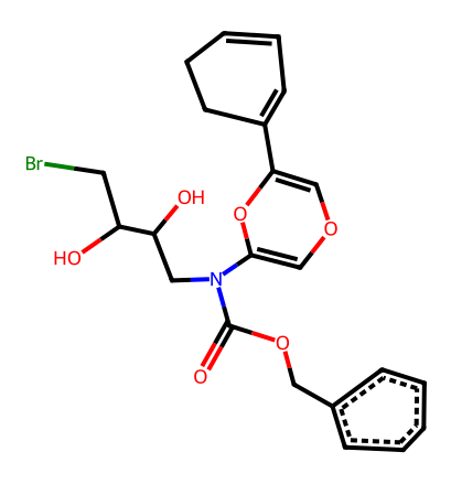 O=C(OCc1ccccc1)N(CC(O)C(O)CBr)C1=COC=C(C2=CC=CCC2)O1